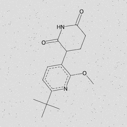 COc1nc(C(C)(C)C)ccc1C1CCC(=O)NC1=O